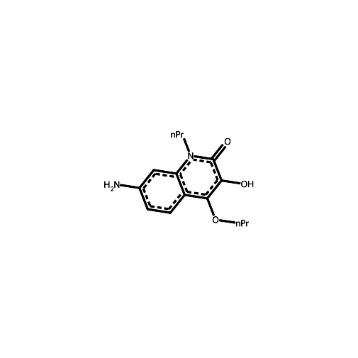 CCCOc1c(O)c(=O)n(CCC)c2cc(N)ccc12